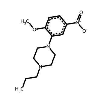 CCCN1CCN(c2cc([N+](=O)[O-])ccc2OC)CC1